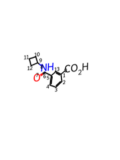 O=C(O)c1cccc(C(=O)NC2CCC2)c1